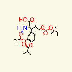 CCC(C)(C)OC(=O)OCC(C)C(c1ccc(OC(=O)C(C)C)c(OC(=O)C(C)C)c1)[C@H](N)C(=O)O